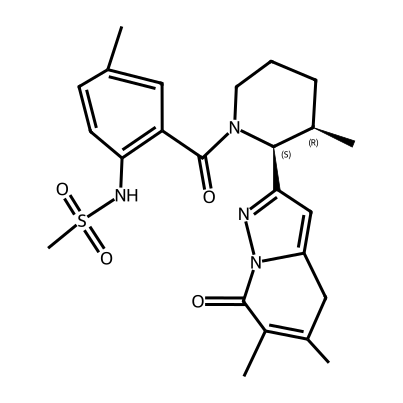 CC1=C(C)C(=O)n2nc([C@@H]3[C@H](C)CCCN3C(=O)c3cc(C)ccc3NS(C)(=O)=O)cc2C1